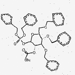 CC(C)(C)C(=O)O[C@@H]1C(OP(=O)(OCc2ccccc2)OCc2ccccc2)OC(COCc2ccccc2)[C@H](OCc2ccccc2)C1OCc1ccccc1